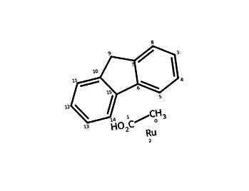 CC(=O)O.[Ru].c1ccc2c(c1)Cc1ccccc1-2